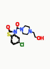 O=C(N1CCN(CCO)CC1)n1c(=O)sc2ccc(Cl)cc21